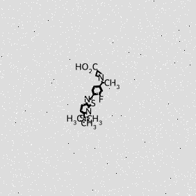 CC(c1ccc(-c2nc3cc[c]([Sn]([CH3])([CH3])[CH3])nc3s2)c(F)c1)N1CC(C(=O)O)C1